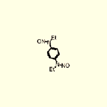 CCN(N=O)c1ccc(N(CC)N=O)cc1